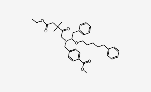 CCOC(=O)CC(C)(C)C(=O)CN(Cc1ccc(C(=O)OC)cc1)C(Cc1ccccc1)OCCCCCc1ccccc1